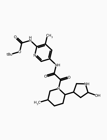 Cc1cc(NC(=O)C(=O)N2CC(C)CCC2C2CNC(O)C2)cnc1NC(=O)OC(C)(C)C